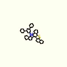 c1ccc(-c2cc(-c3ccccc3)cc(-n3c4c5ccccc5ccc4c4c5c6ccc7ccccc7c6sc5c5ccccc5c43)c2)cc1